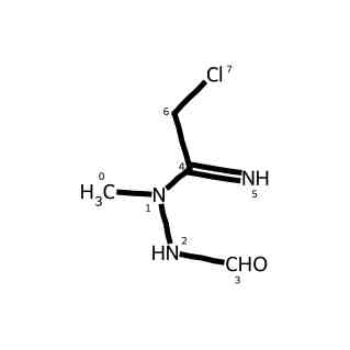 CN(NC=O)C(=N)CCl